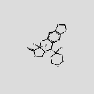 O=C1OC[C@@H]2[C@H](C3(O)CCOCC3)c3cc4c(cc3C[C@@H]12)OCO4